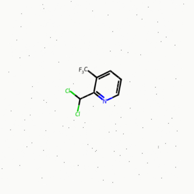 FC(F)(F)c1cccnc1C(Cl)Cl